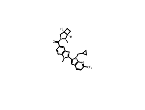 C[C@@H]1[C@@H]2CC[C@@H]2CN1C(=O)c1cnc2c(c1)nc(-c1cc3ccc(C(F)(F)F)nc3n1CC1CC1)n2C